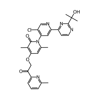 Cc1cccc(C(=O)COc2cc(C)n(-c3cc(-c4ccnc(C(C)(C)O)n4)ncc3Cl)c(=O)c2C)n1